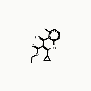 CCOC(=O)/C(C(=N)c1c(C)cccc1C)=C(/O)C1CC1